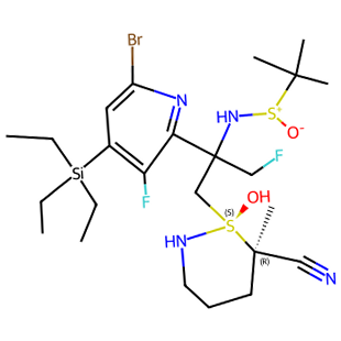 CC[Si](CC)(CC)c1cc(Br)nc(C(CF)(C[S@@]2(O)NCCC[C@]2(C)C#N)N[S+]([O-])C(C)(C)C)c1F